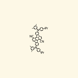 Cc1cc(C)cc(N(c2ccc(C(C)C)cc2)c2ccc3c(c2)-c2ccc(C#N)c4c2=C3C2=C(C#N)C=CC3c5cc(N(c6ccc(C(C)C)cc6)c6cc(C)cc(C)c6)ccc5C=4C23)c1